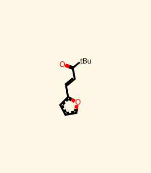 CC(C)(C)C(=O)C=Cc1ccco1